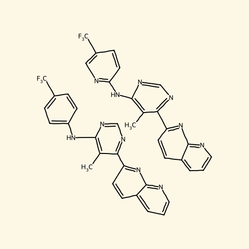 Cc1c(Nc2ccc(C(F)(F)F)cc2)ncnc1-c1ccc2cccnc2n1.Cc1c(Nc2ccc(C(F)(F)F)cn2)ncnc1-c1ccc2cccnc2n1